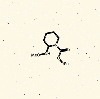 CONC1CCCCN1C(=O)OC(C)(C)C